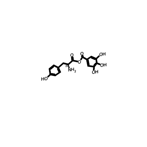 N[C@@H](Cc1ccc(O)cc1)C(=O)OC(=O)c1cc(O)c(O)c(O)c1